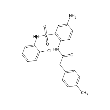 Cc1ccc(CC(=O)Nc2ccc(N)cc2S(=O)(=O)Nc2ccccc2Cl)cc1